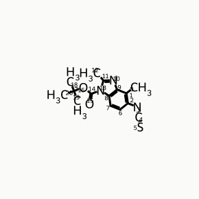 Cc1c(N=C=S)ccc2c1nc(C)n2C(=O)OC(C)(C)C